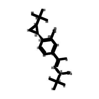 C/C(=N\[S+]([O-])C(C)(C)C)c1ccc([C@@H]2CC2C(C)(C)C)c(Cl)c1